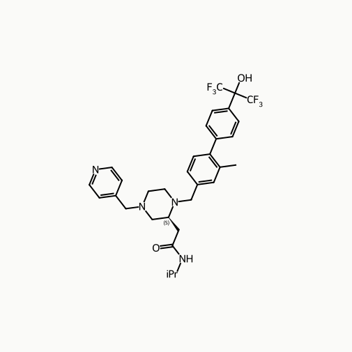 Cc1cc(CN2CCN(Cc3ccncc3)C[C@@H]2CC(=O)NC(C)C)ccc1-c1ccc(C(O)(C(F)(F)F)C(F)(F)F)cc1